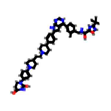 Cc1cc(-c2ncnc3[nH]c(-c4ccc(C5CCN(CCC6CCN(c7ccc(N8CCC(=O)NC8=O)cc7)CC6)CC5)cc4)cc23)ccc1CNC(=O)c1nc(C(C)(C)C)no1